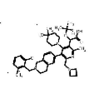 Cc1cccc(Cl)c1CN1CCc2cc(-c3c(CN4CCC4)nc(C)c(C(OC(C)(C)C)C(=O)O)c3N3CCC(C)(C)CC3)ccc2C1